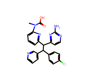 CN(C(=O)O)c1cccc(C(c2ccnc(N)n2)C(c2ccc(Cl)cc2)c2cccnc2)n1